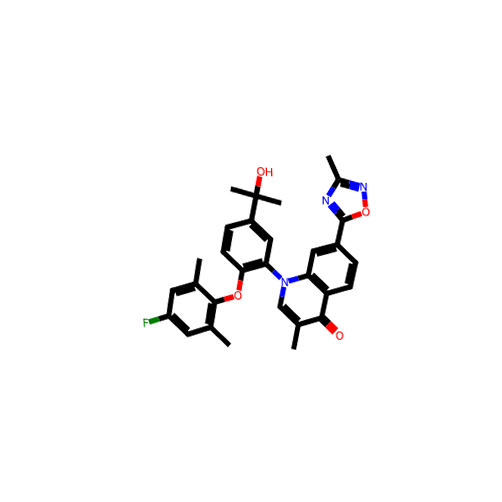 Cc1noc(-c2ccc3c(=O)c(C)cn(-c4cc(C(C)(C)O)ccc4Oc4c(C)cc(F)cc4C)c3c2)n1